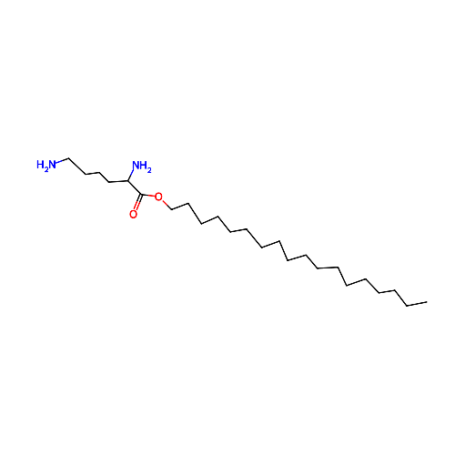 CCCCCCCCCCCCCCCCCCOC(=O)C(N)CCCCN